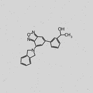 CC(O)c1cccc(-c2cc(N3Cc4ccccc4C3)c3nonc3c2)c1